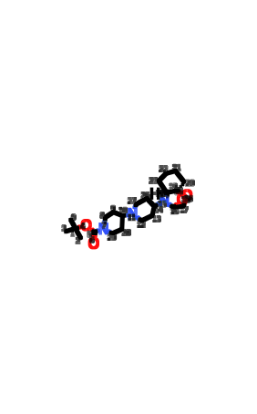 CC(C)(C)OC(=O)N1CCC(N2CCC(N3C4CO[C@@]5(CCCC[C@H]35)O4)CC2)CC1